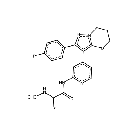 CC(C)C(NC=O)C(=O)Nc1cc(-c2c(-c3ccc(F)cc3)nn3c2OCCC3)ccn1